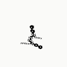 CCCCCCc1nc(-c2ccc(-c3ccccc3)cc2)sc1-c1cnc(-c2ncc(-c3sc(-c4ccc(-c5ccccc5)cc4)nc3CCCCCC)s2)s1